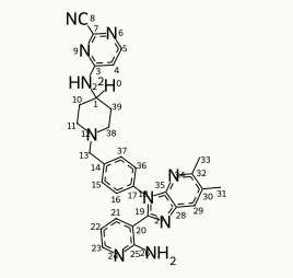 [2H]C1(Nc2ccnc(C#N)n2)CCN(Cc2ccc(-n3c(-c4cccnc4N)nc4cc(C)c(C)nc43)cc2)CC1